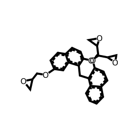 c1ccc2c(Cc3c(OCC4CO4)ccc4ccc(OCC5CO5)cc34)c(OCC3CO3)ccc2c1